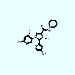 CC[C@@H]1C(C(=O)NN2CCCCC2)=NN(c2ccc(Cl)cc2Cl)[C@@H]1c1cc(Br)cs1